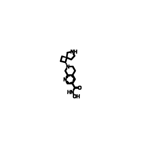 O=C(NO)c1cnc2c(c1)CCN([C@@H]1CC[C@@]13CCNC3)C2